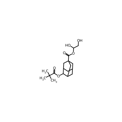 CC(C)(C)C(=O)OC1C2CC3CC1CC(C(=O)OC(O)CO)(C3)C2